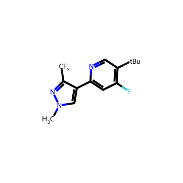 Cn1cc(-c2cc(F)c(C(C)(C)C)cn2)c(C(F)(F)F)n1